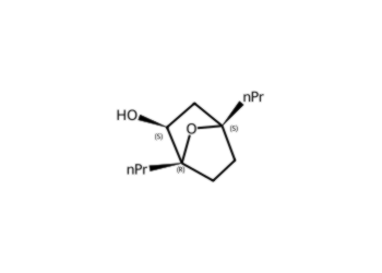 CCC[C@@]12CC[C@@](CCC)(O1)[C@@H](O)C2